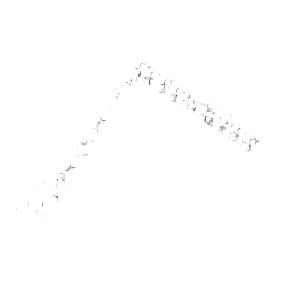 Cl[Si](Cl)(Cl)[Co][C]([Co])[Co].[C]=O.[C]=O.[C]=O.[C]=O.[C]=O.[C]=O.[C]=O.[C]=O.[C]=O.[C]=O.[C]=O.[C]=O.[C]=O.[C]=O.[C]=O.[C]=O.[C]=O.[C]=O.[C]=O.[C]=O.[C]=O.[C]=O.[C]=O.[C]=O.[C]=O.[C]=O.[C]=O